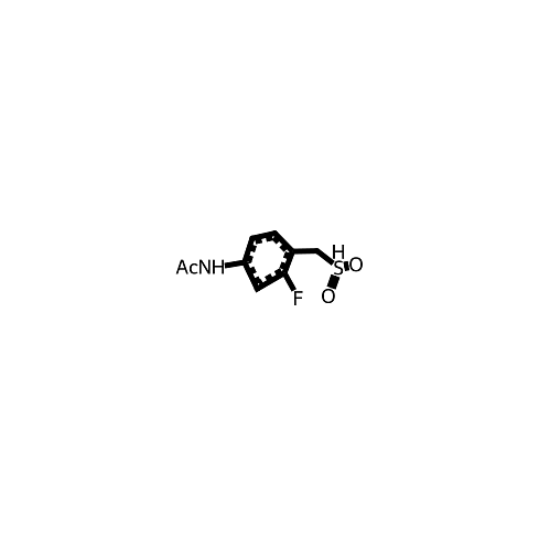 CC(=O)Nc1ccc(C[SH](=O)=O)c(F)c1